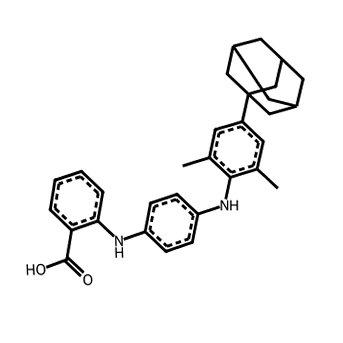 Cc1cc(C23CC4CC(CC(C4)C2)C3)cc(C)c1Nc1ccc(Nc2ccccc2C(=O)O)cc1